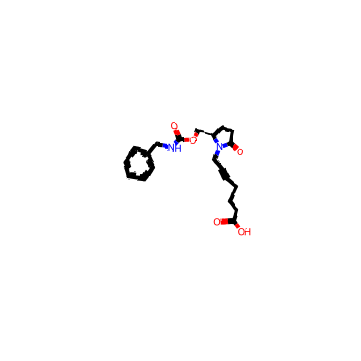 O=C(O)CCCC#CCN1C(=O)CC[C@@H]1COC(=O)NCc1ccccc1